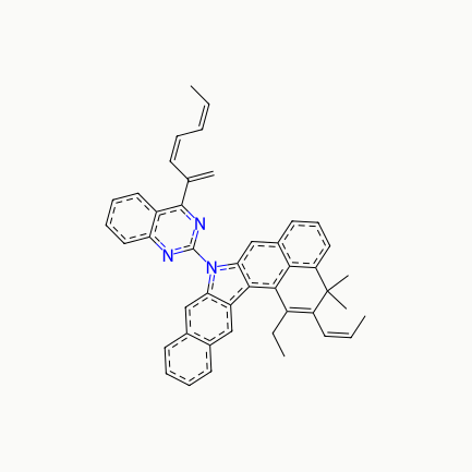 C=C(/C=C\C=C/C)c1nc(-n2c3cc4ccccc4cc3c3c4c5c(cccc5cc32)C(C)(C)C(/C=C\C)=C4CC)nc2ccccc12